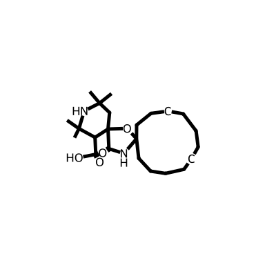 CC1(C)CC2(OC3(CCCCCCCCCCC3)NC2=O)C(C(=O)O)C(C)(C)N1